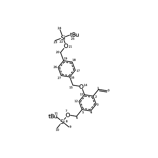 C=Cc1ccc(CO[Si](C)(C)C(C)(C)C)cc1OCc1ccc(CO[Si](C)(C)C(C)(C)C)cc1